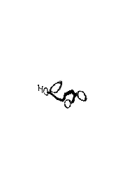 O=C(O)CC1C=CC(=O)CO1